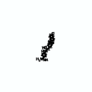 N=C(N)c1ccc(NCC(O)CN2CCN(S(=O)(=O)c3ccc4cc(Cl)ccc4c3)CC2)cc1